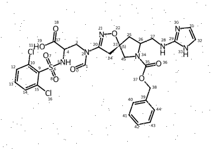 O=CN(CC(NS(=O)(=O)c1c(Cl)cccc1Cl)C(=O)O)C1=NO[C@]2(C1)CC(CNc1ncc[nH]1)N(C(=O)OCc1ccccc1)C2